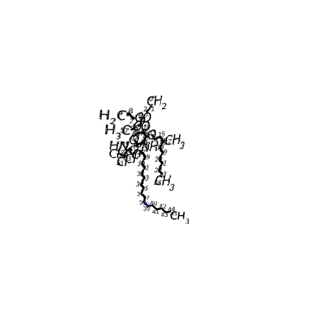 C=CCOP(=O)(OCC=C)O[C@H]1[C@H](OCC[C@H](C)CCCCCCC)[C@@H](NC(=O)CCCCCCCCC/C=C\CCCCCC)[C@@H](OC(=N)C(Cl)(Cl)Cl)O[C@@H]1CC